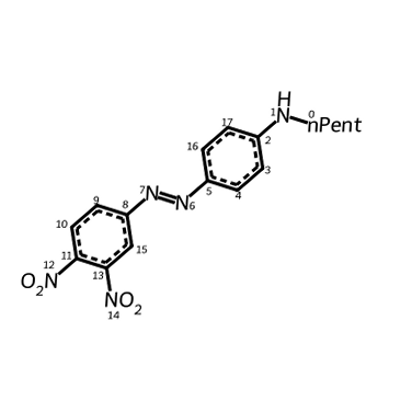 CCCCCNc1ccc(/N=N/c2ccc([N+](=O)[O-])c([N+](=O)[O-])c2)cc1